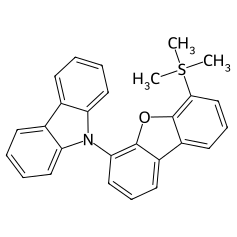 CS(C)(C)c1cccc2c1oc1c(-n3c4ccccc4c4ccccc43)cccc12